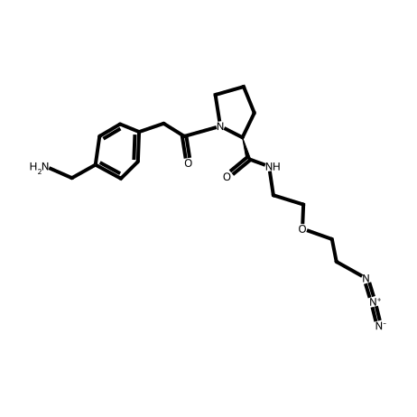 [N-]=[N+]=NCCOCCNC(=O)[C@@H]1CCCN1C(=O)Cc1ccc(CN)cc1